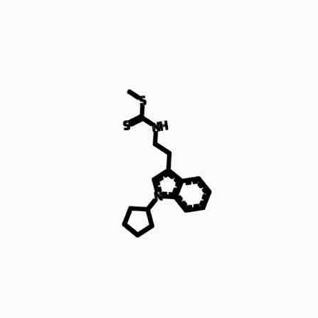 CSC(=S)NCCc1cn(C2CCCC2)c2ccccc12